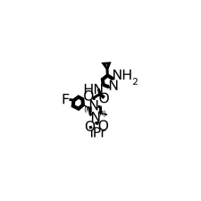 CC(C)OC(=O)N1C[C@@H](c2ccc(F)cc2)N(C(=O)C(=O)Nc2cnc(N)c(C3CC3)c2)C[C@H]1C